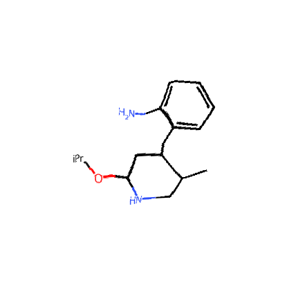 CC(C)OC1CC(c2ccccc2N)C(C)CN1